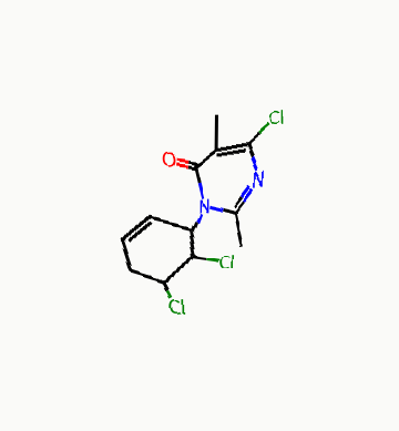 Cc1c(Cl)nc(C)n(C2C=CCC(Cl)C2Cl)c1=O